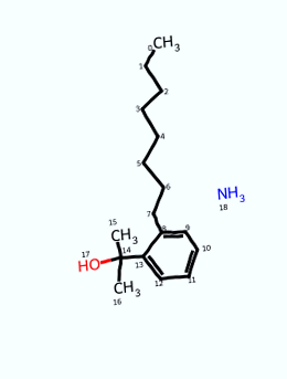 CCCCCCCCc1ccccc1C(C)(C)O.N